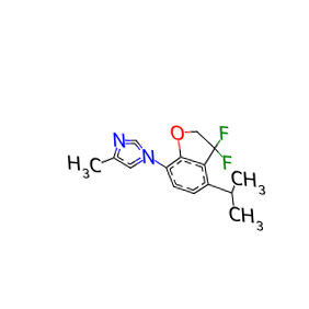 Cc1cn(-c2ccc(C(C)C)c3c2OCC3(F)F)cn1